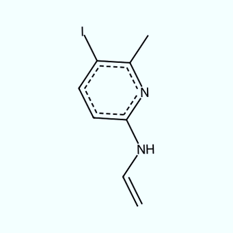 C=CNc1ccc(I)c(C)n1